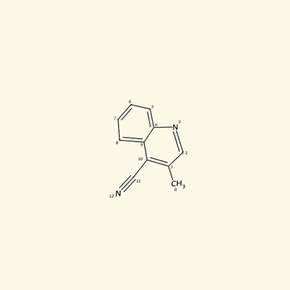 Cc1[c]nc2ccccc2c1C#N